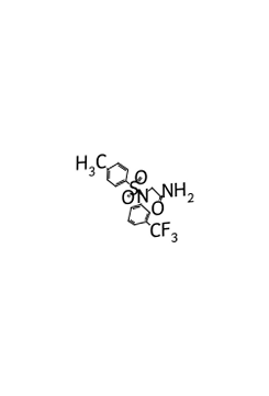 Cc1ccc(S(=O)(=O)N(CC(N)=O)c2cccc(C(F)(F)F)c2)cc1